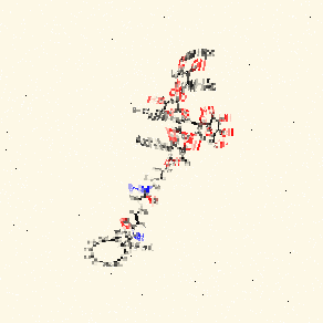 CCCCCCCO[C@@H]1C(C)O[C@@H](OC2C(O)[C@H](O)C(C(=O)O)O[C@H]2OC2C(NC(C)=O)[C@H](OC3C(NC(C)=O)[C@H](OCCCCCNC(=O)CCCCC(=O)NC(CC)(CCCCC)C4CCCCCCCCCC4)OC(C)[C@H]3O)OC(C)[C@H]2O[C@@H]2OC(CO)[C@@H](O)C(O)C2O)C(NC(C)=O)C1O